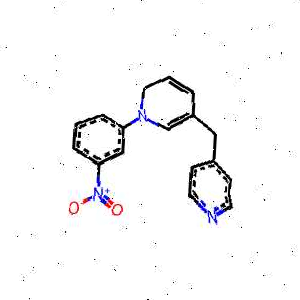 O=[N+]([O-])c1cccc(N2C=C(Cc3ccncc3)C=CC2)c1